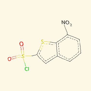 O=[N+]([O-])c1cccc2cc(S(=O)(=O)Cl)sc12